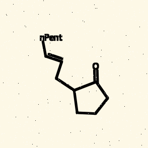 CCCCCC=CCC1CCCC1=O